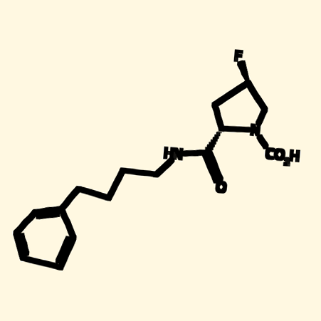 O=C(NCCCCc1ccccc1)[C@@H]1C[C@@H](F)CN1C(=O)O